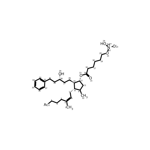 CC(=O)CCC/C(C)=C\C[C@H]1C(C)C[C@@H](OC(=O)CCCCCO[NH+]([O-])O)[C@@H]1CC[C@@H](O)CCc1ccccc1